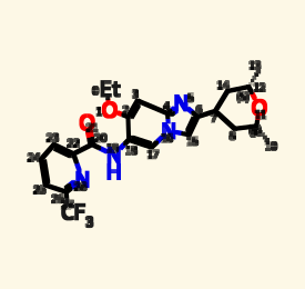 CCOc1cc2nc(C3C[C@@H](C)O[C@@H](C)C3)cn2cc1NC(=O)c1cccc(C(F)(F)F)n1